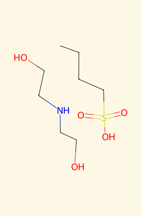 CCCCS(=O)(=O)O.OCCNCCO